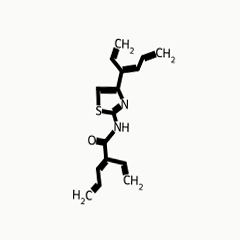 C=C/C=C(\C=C)C(=O)Nc1nc(/C(C=C)=C/C=C)cs1